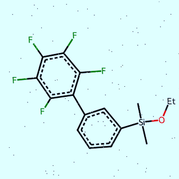 CCO[Si](C)(C)c1cccc(-c2c(F)c(F)c(F)c(F)c2F)c1